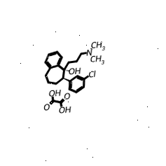 CN(C)CCC[C@]1(O)c2ccccc2CCC[C@@H]1c1cccc(Cl)c1.O=C(O)C(=O)O